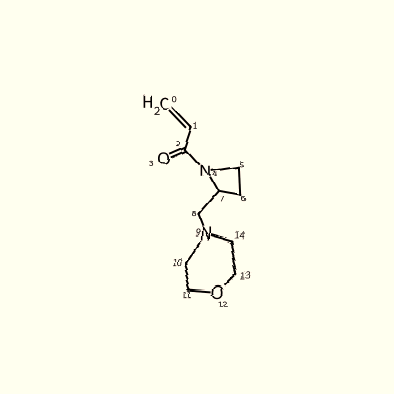 C=CC(=O)N1CCC1CN1CCOCC1